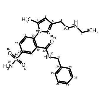 CCNOCc1cc(C)n(-c2ccc(S(N)(=O)=O)cc2C(=O)NCc2ccccc2)n1